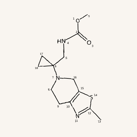 COC(=O)NCC1(N2CCc3nc(C)sc3C2)CC1